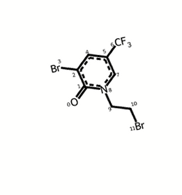 O=c1c(Br)cc(C(F)(F)F)cn1CCBr